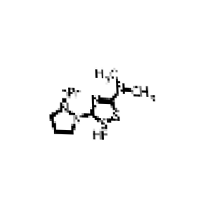 CCCN1CCCN1C1N=C(N(C)C)SS1.F